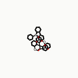 c1ccc(-c2cccc3c2C2(c4ccccc4Oc4ccccc42)c2c(cccc2-c2cccc4c5ccccc5n(-c5ccccc5)c24)O3)cc1